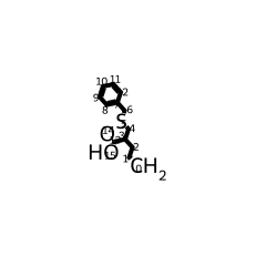 C=CCC(CSCc1ccccc1)C(=O)O